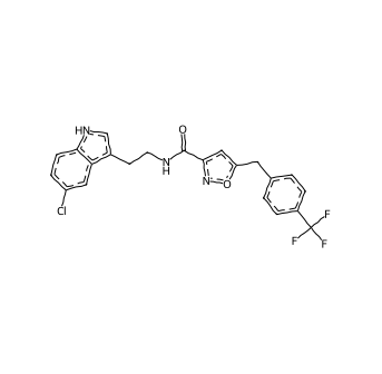 O=C(NCCc1c[nH]c2ccc(Cl)cc12)c1cc(Cc2ccc(C(F)(F)F)cc2)on1